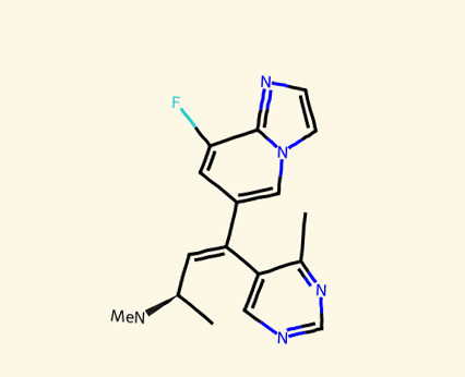 CN[C@H](C)/C=C(/c1cc(F)c2nccn2c1)c1cncnc1C